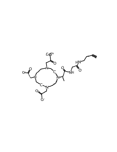 C#CCCNC(=O)CNC(=O)C(C)N1CCN(CC(=O)[O-])CCN(CC(=O)[O-])CCN(CC(=O)[O-])CC1.[Gd+3]